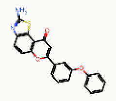 Nc1nc2ccc3oc(-c4cccc(Oc5ccccc5)c4)cc(=O)c3c2s1